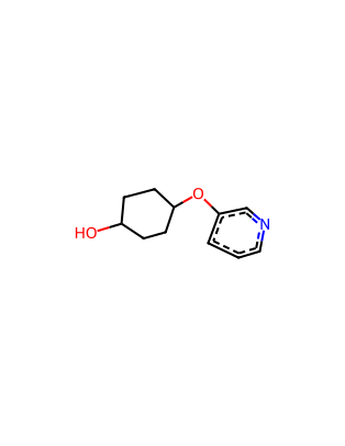 OC1CCC(Oc2cccnc2)CC1